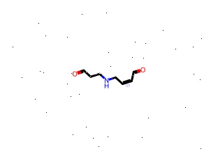 O=C/C=C\CNCCC=O